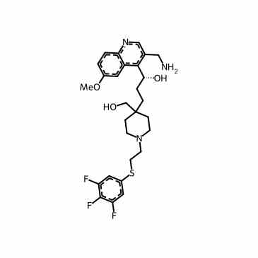 COc1ccc2ncc(CN)c([C@H](O)CCC3(CO)CCN(CCSc4cc(F)c(F)c(F)c4)CC3)c2c1